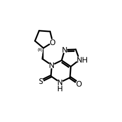 O=c1[nH]c(=S)n(C[C@H]2CCCO2)c2nc[nH]c12